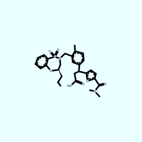 CCC[C@@H]1CN(Cc2cc(C(CC(=O)O)c3ccc(C(=O)N(C)C)o3)ccc2C)S(=O)(=O)c2ccccc2O1